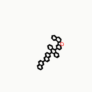 c1ccc2cc(-c3ccc4cc(-c5c6ccccc6c(-c6ccc7oc8ccc9ccccc9c8c7c6)c6ccccc56)ccc4c3)ccc2c1